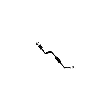 C#CC=CC#CCCCC